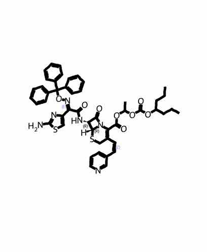 CCCC(CCC)OC(=O)OC(C)OC(=O)C1=C(/C=C\c2cccnc2)CS[C@@H]2[C@H](NC(=O)/C(=N/OC(c3ccccc3)(c3ccccc3)c3ccccc3)c3csc(N)n3)C(=O)N12